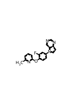 Cc1cccc(Oc2ccc(-n3ccc4ncncc43)cc2F)n1